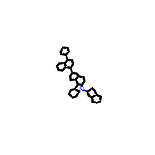 c1ccc(-c2ccc(-c3ccc4c(ccc5c4c4ccccc4n5-c4ccc5ccccc5c4)c3)c3ccccc23)cc1